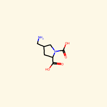 NCC1CC(C(=O)O)N(C(=O)O)C1